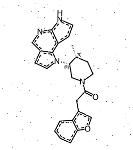 C[C@@H]1CCN(C(=O)Cc2coc3ccccc23)C[C@@H]1n1ccc2cnc3[nH]ccc3c21